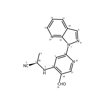 C[C@H](C#N)Nc1cc(-n2ncc3cccnc32)ncc1C=O